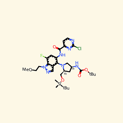 COCCn1ncc2c(N3C[C@@H](NC(=O)OC(C)(C)C)C[C@H]3CO[Si](C)(C)C(C)(C)C)c(NC(=O)c3ccnc(Cl)n3)cc(F)c21